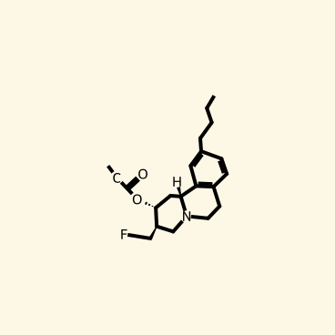 CCCCc1ccc2c(c1)[C@H]1C[C@@H](OC(=O)CC)[C@H](CF)CN1CC2